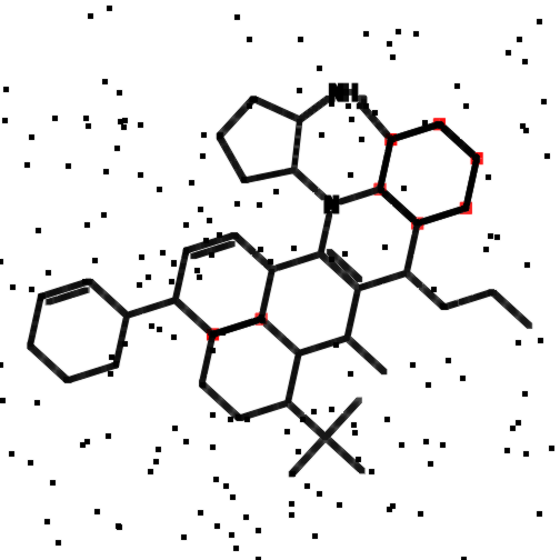 CCCC(/C(=C(/C1C=CC(C2C=CCCC2)CC1)N(C1CCCCC1C)C1CCCC1N)C(C)C1CCCCC1C(C)(C)C)C1CCCCC1